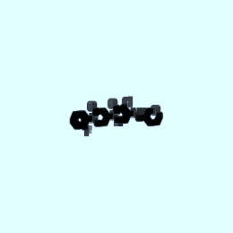 O=C1CC(n2ncc(NCC3CCCOC3)c(Cl)c2=O)CCN1c1ccccc1F